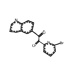 O=C(C(=O)c1cccc(Br)n1)c1ccc2ncccc2c1